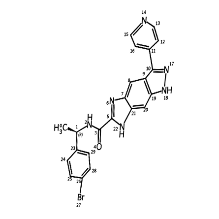 C[C@@H](NC(=O)c1nc2cc3c(-c4ccncc4)n[nH]c3cc2[nH]1)c1ccc(Br)cc1